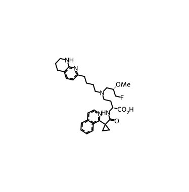 CO[C@H](CF)CN(CCCCc1ccc2c(n1)NCCC2)CC[C@H](NC(=O)C1(c2nccc3ccccc23)CC1)C(=O)O